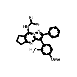 CCC(CC)Nc1c2c(nc3c(-c4ccc(OC)cc4C)c(-c4ccccc4)nn13)CCC2